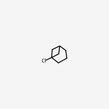 ClC12CCCC(C1)C2